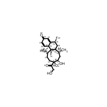 C[C@H]1C[C@@H](O)[C@](O)(C(=O)CO)CC[C@H](O)[C@@]2(F)[C@H]1C[C@H](F)C1=CC(=O)C=C[C@@]12C